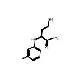 NC(=O)C(CCO)Nc1cccc(F)c1